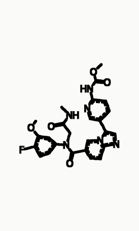 CNC(=O)CN(C(=O)c1ccc2ncc(-c3ccc(NC(=O)OC)nc3)n2c1)c1ccc(F)c(OC)c1